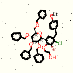 CCOc1ccc(Cc2cc([C@@H]3O[C@H](COCc4ccccc4)[C@@H](OCc4ccccc4)[C@H](OCc4ccccc4)[C@H]3OCc3ccccc3)c(OCCO)c(Br)c2Cl)cc1